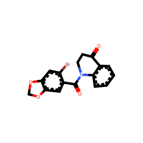 O=C1CCN(C(=O)c2cc3c(cc2Br)OCO3)c2ccccc21